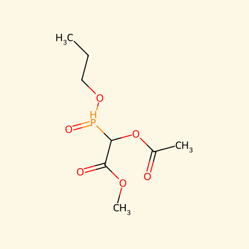 CCCO[PH](=O)C(OC(C)=O)C(=O)OC